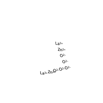 [La+3].[La+3].[O-2].[O-2].[O-2].[O-2].[O-2].[Zn+2].[Zn+2]